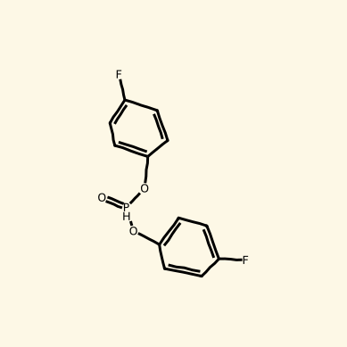 O=[PH](Oc1ccc(F)cc1)Oc1ccc(F)cc1